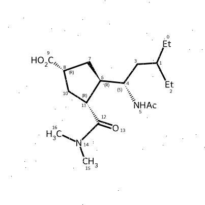 CCC(CC)C[C@H](NC(C)=O)[C@@H]1C[C@@H](C(=O)O)C[C@H]1C(=O)N(C)C